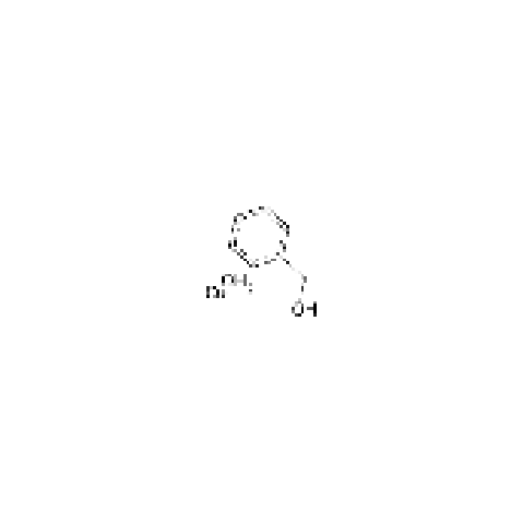 O.OCc1ccccc1.[Cu]